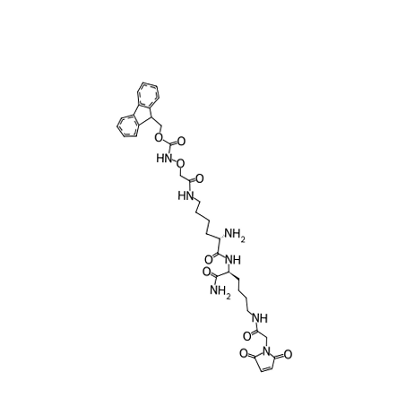 NC(=O)[C@H](CCCCNC(=O)CN1C(=O)C=CC1=O)NC(=O)[C@@H](N)CCCCNC(=O)CONC(=O)OCC1c2ccccc2-c2ccccc21